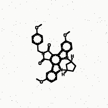 COc1ccc(CN2C(=O)c3c(c4c5cc(OC)ccc5n5c4c4c3c3cc(OC)ccc3n4[C@@H]3CC[C@H]5C3)C2=O)cc1